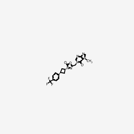 Cn1cnc2ncn(Cc3nn([C@H]4C[C@H](c5ccc(C(F)(F)F)cc5)C4)c(=O)o3)c(=O)c21